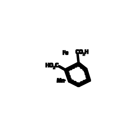 O=C(O)c1ccccc1C(=O)O.[Fe].[Mn]